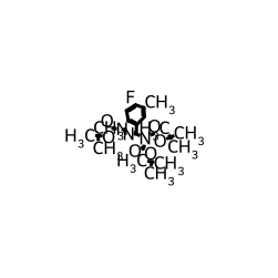 Cc1cc2c(N(C(=O)OC(C)(C)C)C(=O)OC(C)(C)C)nn(C(=O)OC(C)(C)C)c2cc1F